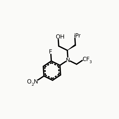 CC(C)C[C@H](CO)N(CC(F)(F)F)c1ccc([N+](=O)[O-])cc1F